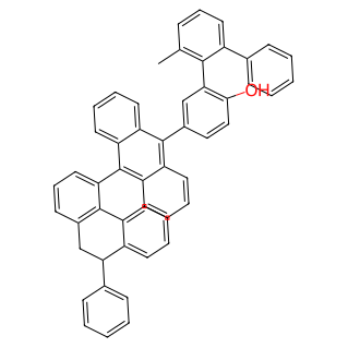 Cc1cccc(-c2ccccc2)c1-c1cc(-c2c3ccccc3c(-c3cccc4c3-c3ccccc3C(c3ccccc3)C4)c3ccccc23)ccc1O